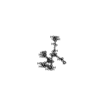 C[C@@H]1O[C@@H](OCCNC(=O)CCCCCNC(=O)CN(CC(=O)NCCCCCNC(=O)OCc2ccccc2)CC(=O)NCCCC[C@@H](C(=O)NCCO[C@H]2O[C@H](CO)[C@@H](O)[C@H](O)[C@@H]2O)N(CC(=O)NCCO[C@H]2O[C@H](CO)[C@@H](O)[C@H](O)[C@@H]2O)CC(=O)NCCO[C@H]2O[C@H](CO)[C@@H](O)[C@H](O)[C@@H]2O)[C@@H](O)[C@H](O)[C@@H]1O